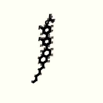 CCCCCCC1CCC2CC(c3ccc(-c4ccc(OC(F)F)c(F)c4)c(F)c3)CCC2C1